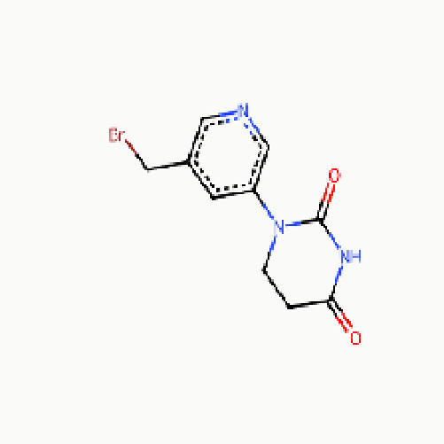 O=C1CCN(c2cncc(CBr)c2)C(=O)N1